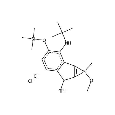 CO[Si]1(C)C2=C1[CH]([Ti+2])c1ccc(O[Si](C)(C)C)c(NC(C)(C)C)c12.[Cl-].[Cl-]